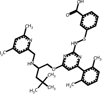 Cc1cc(C)nc(CNC(COc2cc(-c3c(C)cccc3C)nc(NSc3cccc(C(=O)O)c3)n2)CC(C)(C)C)c1